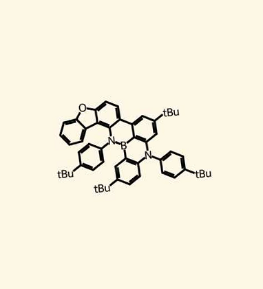 CC(C)(C)c1ccc(N2B3c4cc(C(C)(C)C)ccc4N(c4ccc(C(C)(C)C)cc4)c4cc(C(C)(C)C)cc(c43)-c3ccc4oc5ccccc5c4c32)cc1